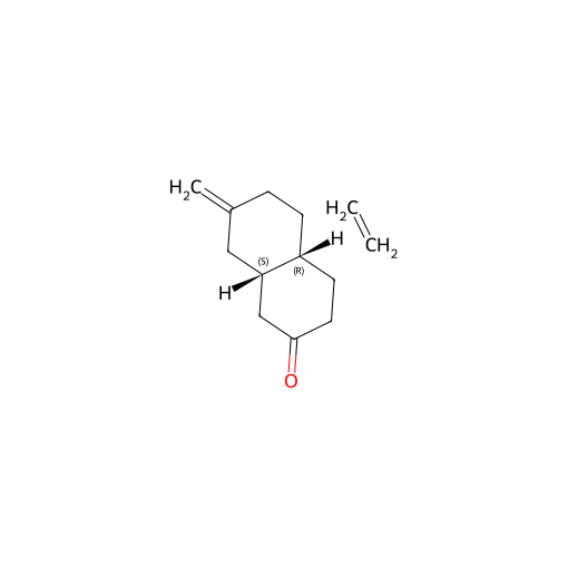 C=C.C=C1CC[C@@H]2CCC(=O)C[C@@H]2C1